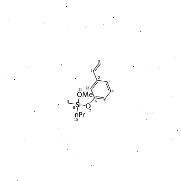 C=Cc1cccc(O[Si](C)(CCC)OC)c1